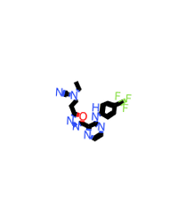 CCN(C#N)CCc1nnc(-c2nccnc2Nc2ccc(C(F)(F)F)cc2)o1